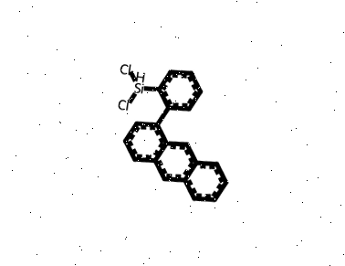 Cl[SiH](Cl)c1ccccc1-c1cccc2cc3ccccc3cc12